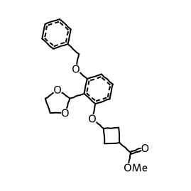 COC(=O)C1CC(Oc2cccc(OCc3ccccc3)c2C2OCCO2)C1